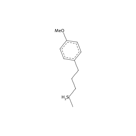 COc1ccc(CCC[SiH2]C)cc1